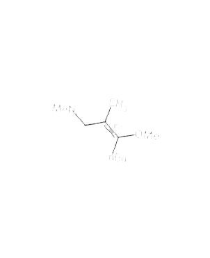 CCCC/C(OC)=C(/C)CNC